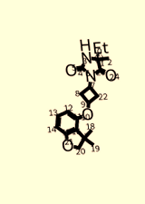 CC[C@]1(C)NC(=O)N(C2CC(Oc3cccc4c3C(C)(C)CO4)C2)C1=O